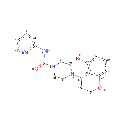 O=C(Nc1cccnn1)N1CCN(C2CCOc3cccc(Br)c32)CC1